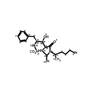 CC(C)CCC[C@@H](C)N1C(=O)[C@H]([C@H](O)[C@H](Cc2ccccc2)NC(=O)O)NC1C(C)C